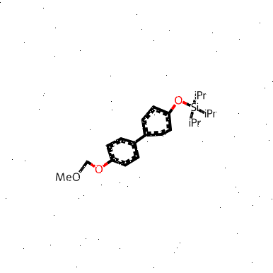 COCOc1ccc(-c2[c]cc(O[Si](C(C)C)(C(C)C)C(C)C)cc2)cc1